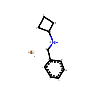 Br.c1ccc(CNC2CCC2)cc1